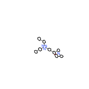 c1ccc(-c2ccc(-c3nc(-c4ccc(-c5cccc(-c6ccccc6-n6c7ccccc7c7ccccc76)c5)cc4)nc(-c4cccc(-c5ccccc5)c4)n3)cc2)cc1